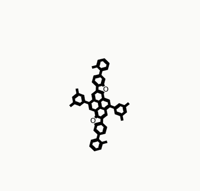 Cc1cc(C)cc(-c2cc3c4oc5cc(-c6ccccc6C)ccc5c4cc4c(-c5cc(C)cc(C)c5)cc5c6oc7cc(-c8ccccc8C)ccc7c6cc2c5c43)c1